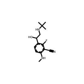 CNc1ccc(C(O)CNC(C)(C)C)c(F)c1C#N